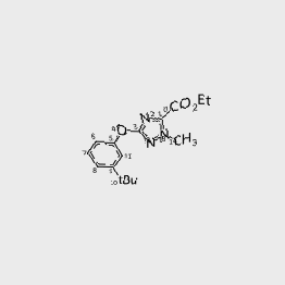 CCOC(=O)c1nc(Oc2cccc(C(C)(C)C)c2)nn1C